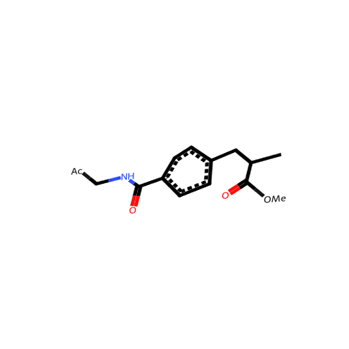 COC(=O)C(C)Cc1ccc(C(=O)NCC(C)=O)cc1